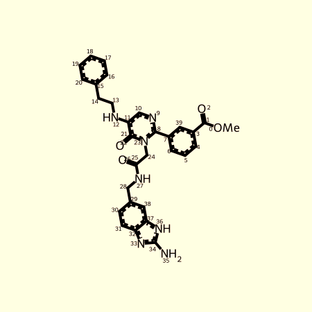 COC(=O)c1cccc(-c2ncc(NCCc3ccccc3)c(=O)n2CC(=O)NCc2ccc3nc(N)[nH]c3c2)c1